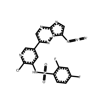 [N-]=[N+]=Nc1cnc2ncc(-c3cnc(Cl)c(NS(=O)(=O)c4ccc(F)cc4F)c3)nn12